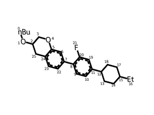 CCCCOC1COc2cc(-c3ccc(C4CCC(CC)CC4)cc3F)ccc2C1